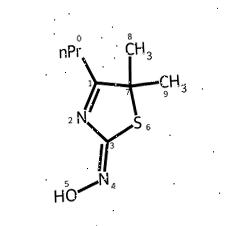 CCCC1=NC(=NO)SC1(C)C